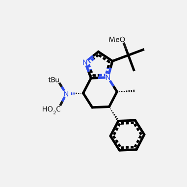 COC(C)(C)c1cnc2n1[C@H](C)[C@H](c1ccccc1)C[C@@H]2N(C(=O)O)C(C)(C)C